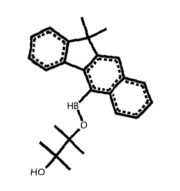 CC1(C)c2ccccc2-c2c1cc1ccccc1c2BOC(C)(C)C(C)(C)O